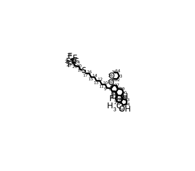 C[C@]12C[C@H](F)[C@@H]3c4cc(CCCCCCCCCSCCCC(F)(F)C(F)(F)F)c(OC5CCCCO5)cc4CC[C@H]3[C@@H]1CC[C@@H]2O